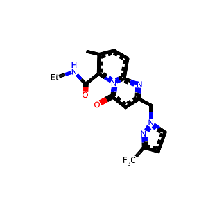 CCNC(=O)c1c(C)ccc2nc(Cn3ccc(C(F)(F)F)n3)cc(=O)n12